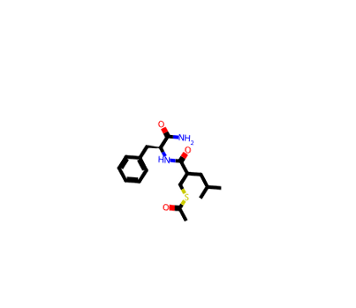 CC(=O)SCC(CC(C)C)C(=O)N[C@@H](Cc1ccccc1)C(N)=O